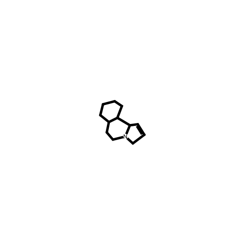 C1=CC2C3CCCCC3CCN2C1